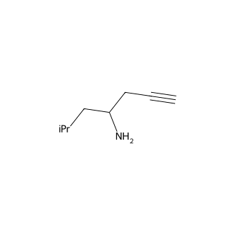 C#CCC(N)CC(C)C